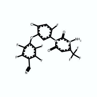 N#Cc1c(F)c(F)c(Oc2cc(-n3c(=O)cc(C(F)(F)F)n(N)c3=O)c(F)cc2Cl)c(F)c1F